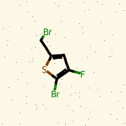 Fc1cc(CBr)sc1Br